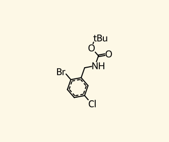 CC(C)(C)OC(=O)NCc1cc(Cl)ccc1Br